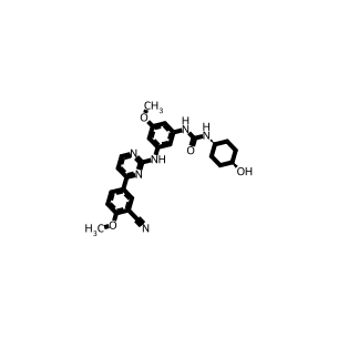 COc1cc(NC(=O)N[C@H]2CC[C@H](O)CC2)cc(Nc2nccc(-c3ccc(OC)c(C#N)c3)n2)c1